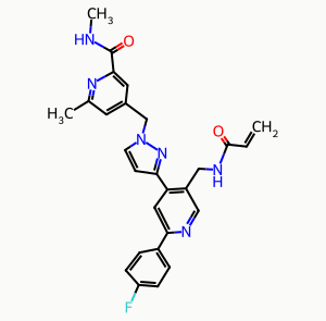 C=CC(=O)NCc1cnc(-c2ccc(F)cc2)cc1-c1ccn(Cc2cc(C)nc(C(=O)NC)c2)n1